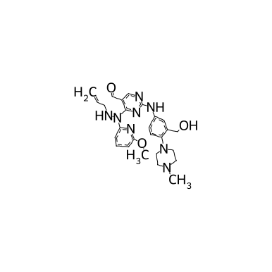 C=CCNN(c1cccc(OC)n1)c1nc(Nc2ccc(N3CCN(C)CC3)c(CO)c2)ncc1C=O